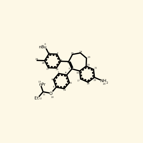 CCCCc1cc(C2=C(c3ccc(OC(CC)CCC)cc3)c3ccc(N)cc3CCC2)ccc1C